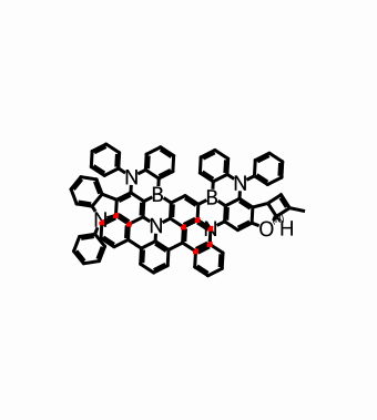 CC1=CC2c3c(cc4c5c3N(c3ccccc3)c3ccccc3B5c3cc5c(cc3N4c3ccccc3)N(c3c(-c4ccccc4)cccc3-c3ccccc3)c3cc4c(c6c3B5c3ccccc3N6c3ccccc3)c3ccccc3n4-c3ccccc3)O[C@@H]12